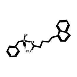 O=C(O)C(CCCCc1cccc2ccccc12)NP(=O)(O)Cc1ccccc1